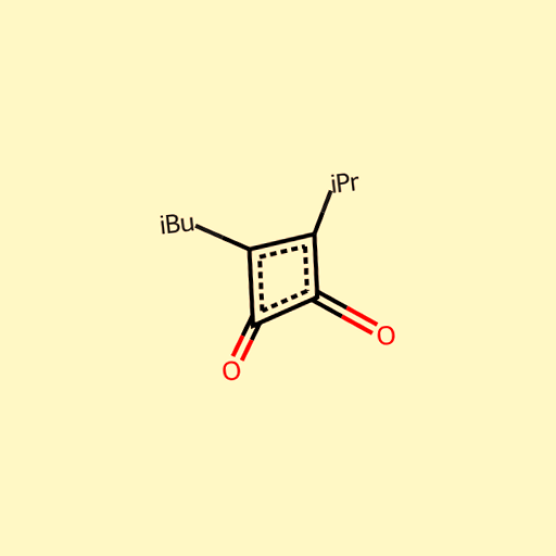 CCC(C)c1c(C(C)C)c(=O)c1=O